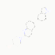 ClOC1CCN(c2ccc3cc(-c4ccc5[nH]ccc5c4)ccc3n2)CC1